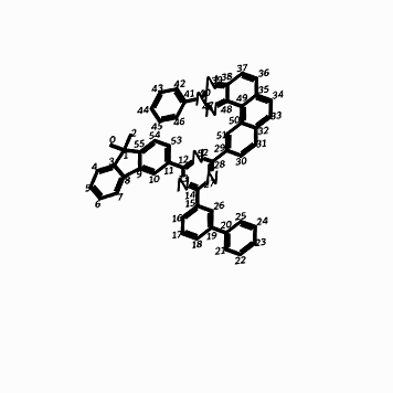 CC1(C)c2ccccc2-c2cc(-c3nc(-c4cccc(-c5ccccc5)c4)nc(-c4ccc5ccc6ccc7nn(-c8ccccc8)nc7c6c5c4)n3)ccc21